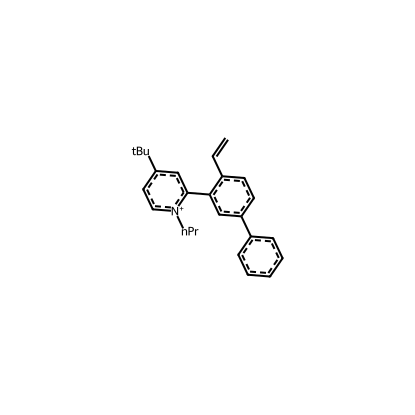 C=Cc1ccc(-c2ccccc2)cc1-c1cc(C(C)(C)C)cc[n+]1CCC